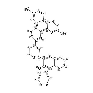 CC(C)c1ccc2c3ccc(C(C)C)cc3c3nc(-c4cccc(-c5cc6ccccc6c6c5oc5ccccc56)c4)cnc3c2c1